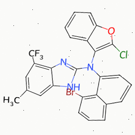 Cc1cc(C(F)(F)F)c2nc(N(c3c(Cl)oc4ccccc34)c3cccc4cccc(Br)c34)[nH]c2c1